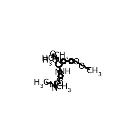 CCCCOCCOc1ccc(-c2ccc3c(c2)/C=C(/c2nc4cc([S+]([O-])Cc5c(C)ncn5CCC)ccc4[nH]2)CCCN3CC(C)(C)C(=O)O)cc1